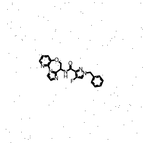 O=C(NC1COc2cccnc2-n2ccnc21)c1nn(Cc2ccccc2)cc1F